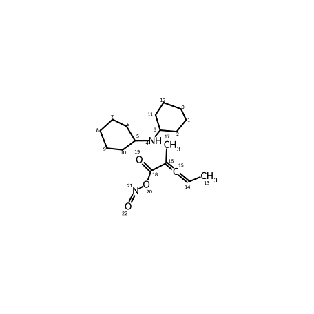 C1CCC(NC2CCCCC2)CC1.CC=C=C(C)C(=O)ON=O